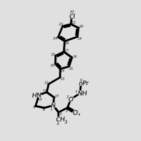 CCCNOC(=O)C(C)N1CCNC(CCc2ccc(-c3ccc(Cl)cc3)cc2)C1